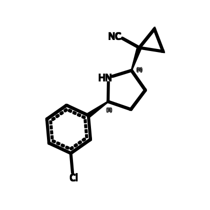 N#CC1([C@H]2CC[C@@H](c3cccc(Cl)c3)N2)CC1